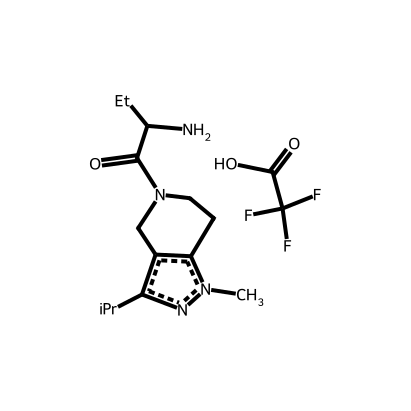 CCC(N)C(=O)N1CCc2c(c(C(C)C)nn2C)C1.O=C(O)C(F)(F)F